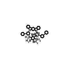 Bc1c(B)c(B)c(-c2nc(-c3cccc(-c4ccccc4)c3)nc(-n3c4ccccc4c4cc5c6ccccc6n(-c6cccc(-c7ccccc7)c6)c5cc43)n2)c(B)c1B